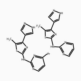 Cc1sc(Nc2nccc(C(C)C)n2)nc1-c1cn[nH]c1.FC(F)(F)c1sc(Nc2ncccn2)nc1-c1cn[nH]c1